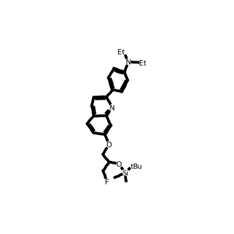 CCN(CC)c1ccc(-c2ccc3ccc(OCC(CF)O[Si](C)(C)C(C)(C)C)cc3n2)cc1